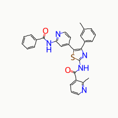 Cc1cccc(-c2nc(NC(=O)c3cccnc3C)sc2-c2ccnc(NC(=O)c3ccccc3)c2)c1